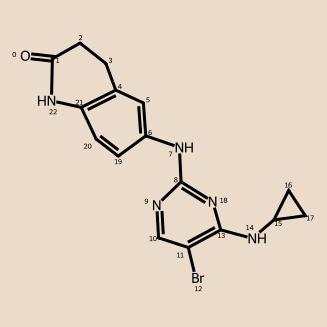 O=C1CCc2cc(Nc3ncc(Br)c(NC4CC4)n3)ccc2N1